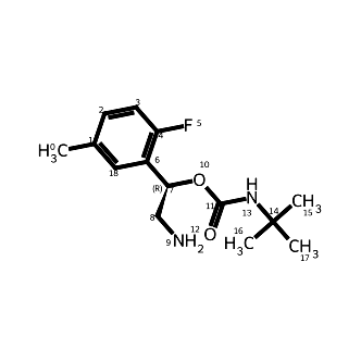 Cc1ccc(F)c([C@H](CN)OC(=O)NC(C)(C)C)c1